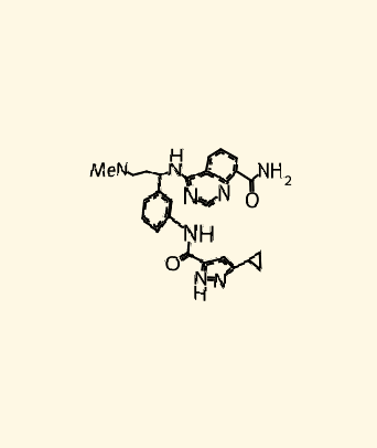 CNCCC(Nc1ncnc2c(C(N)=O)cccc12)c1cccc(NC(=O)c2cc(C3CC3)n[nH]2)c1